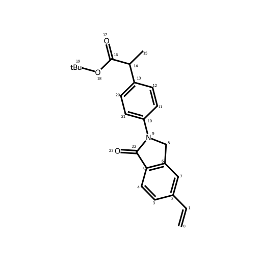 C=Cc1ccc2c(c1)CN(c1ccc(C(C)C(=O)OC(C)(C)C)cc1)C2=O